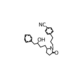 N#Cc1ccc(CCCN2C(=O)CCC2CCC(O)Cc2ccccc2)cc1